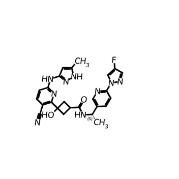 Cc1cc(Nc2ccc(C#N)c(C3(O)CC(C(=O)N[C@@H](C)c4ccc(-n5cc(F)cn5)nc4)C3)n2)n[nH]1